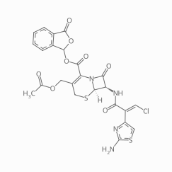 CC(=O)OCC1=C(C(=O)OC2OC(=O)c3ccccc32)N2C(=O)[C@@H](NC(=O)C(=CCl)c3csc(N)n3)[C@H]2SC1